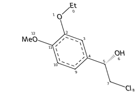 CCOc1cc([C@H](O)CCl)ccc1OC